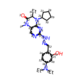 CCC1C(=O)N(C)c2cnc(N/N=C/c3ccc(N(CC)CC)cc3O)nc2N1C1CCCC1